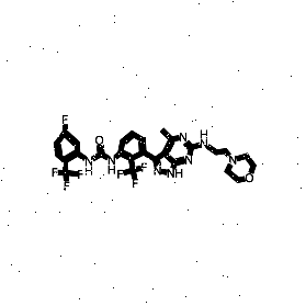 Cc1nc(NCCN2CCOCC2)nc2[nH]nc(-c3cccc(NC(=O)Nc4cc(F)ccc4C(F)(F)F)c3C(F)(F)F)c12